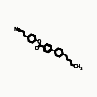 CCCCC[C@H]1CC[C@H](c2ccc(C(=O)O[C@H]3CC[C@H](CCC#N)CC3)cc2)CC1